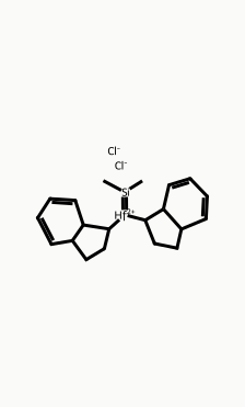 C[Si](C)=[Hf+2]([CH]1CCC2C=CC=CC21)[CH]1CCC2C=CC=CC21.[Cl-].[Cl-]